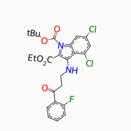 CCOC(=O)c1c(NCCC(=O)c2ccccc2F)c2c(Cl)cc(Cl)cc2n1C(=O)OC(C)(C)C